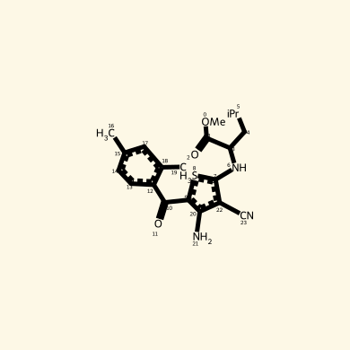 COC(=O)C(CC(C)C)Nc1sc(C(=O)c2ccc(C)cc2C)c(N)c1C#N